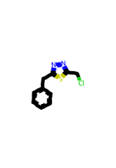 ClCc1nnc(Cc2ccccc2)s1